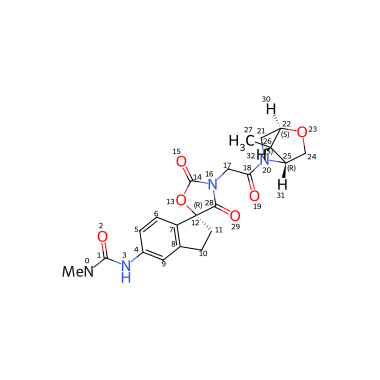 CNC(=O)Nc1ccc2c(c1)CC[C@@]21OC(=O)N(CC(=O)N2C[C@H]3OC[C@H]2[C@@H]3C)C1=O